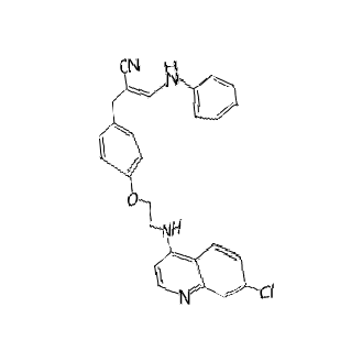 N#CC(=CNc1ccccc1)Cc1ccc(OCCNc2ccnc3cc(Cl)ccc23)cc1